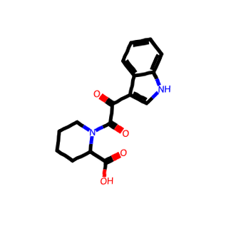 O=C(C(=O)N1CCCCC1C(=O)O)c1c[nH]c2ccccc12